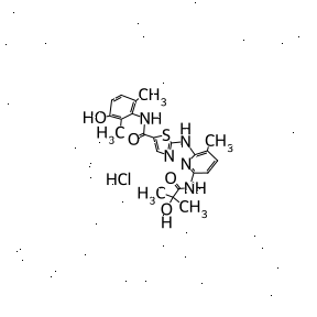 Cc1ccc(NC(=O)C(C)(C)O)nc1Nc1ncc(C(=O)Nc2c(C)ccc(O)c2C)s1.Cl